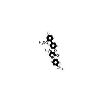 COc1cc(F)ccc1-c1ccc(Oc2c(N)cnn(-c3ccc(C)cc3)c2=O)cc1